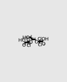 O=C(O)C(Cl)(Cl)OCC(CO)OC(Cl)(Cl)C(=O)O